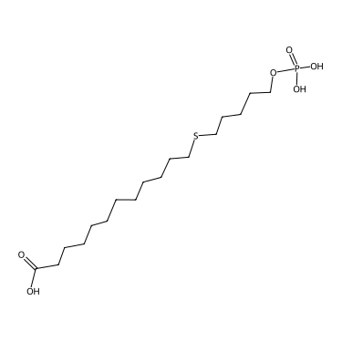 O=C(O)CCCCCCCCCCCSCCCCCOP(=O)(O)O